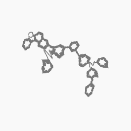 c1ccc(-c2ccc(N(c3ccccc3)c3ccc(-c4cccc(-c5ccc6c(c5)c5cc7ccc8oc9ccccc9c8c7cc5n6-c5ccccc5)c4)cc3)cc2)cc1